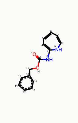 O=C(NC1=CC=CC=CN1)OCc1ccccc1